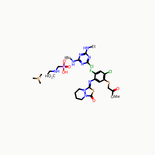 CCNc1nc(Cl)nc(NC(C)(C)C)n1.COC(=O)CSc1cc(/N=c2\sc(=O)n3n2CCCC3)c(F)cc1Cl.C[S+](C)C.O=C(O)CNCP(=O)([O-])O